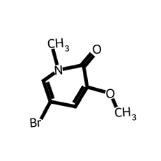 COc1cc(Br)cn(C)c1=O